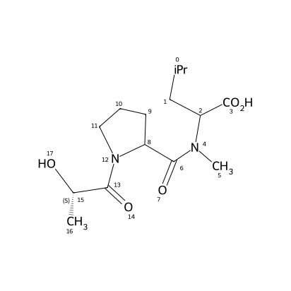 CC(C)CC(C(=O)O)N(C)C(=O)C1CCCN1C(=O)[C@H](C)O